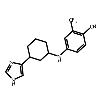 N#Cc1ccc(NC2CCCC(c3c[nH]cn3)C2)cc1C(F)(F)F